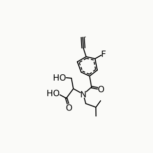 [C]#Cc1ccc(C(=O)N(CC(C)C)C(CO)C(=O)O)cc1F